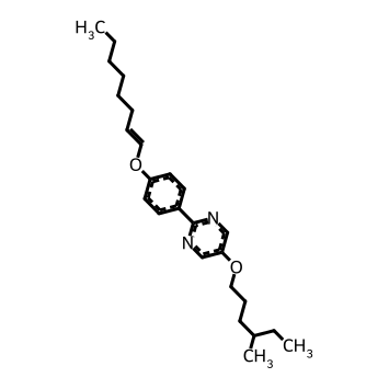 CCCCCCC=COc1ccc(-c2ncc(OCCCC(C)CC)cn2)cc1